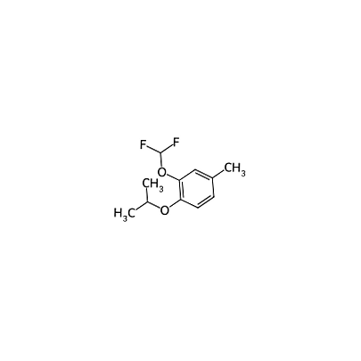 Cc1ccc(OC(C)C)c(OC(F)F)c1